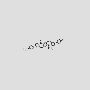 CB1c2ccc(-c3ccc(C)cc3)cc2C=Cc2cc3c(cc21)C=Cc1cc(-c2ccc(C)cc2)ccc1B3C